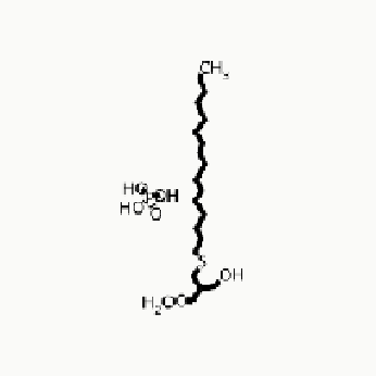 C=C=CC(CO)CSCCCCCCCCCCCCCCCC.O=P(O)(O)O